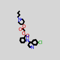 CCCCN1CCC(OC(=O)COC(=O)c2ccccc2Nc2ccnc3cc(Cl)ccc23)CC1